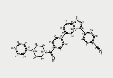 N#Cc1ccc(-c2cnc3ccc(-c4ccc(C(=O)N5CCN(c6ccncc6)CC5)cc4)cn23)cc1